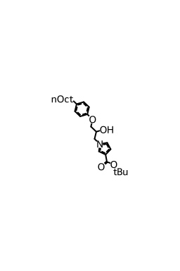 CCCCCCCCc1ccc(OCC(O)Cn2ccc(C(=O)OC(C)(C)C)c2)cc1